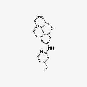 CCc1ccnc(Nc2cc3ccc4cccc5ccc(c2)c3c45)c1